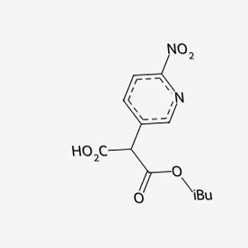 CCC(C)OC(=O)C(C(=O)O)c1ccc([N+](=O)[O-])nc1